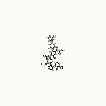 C=CC(=O)Nc1cc(NC(=N)/C=C(\NN)N2OCC[C@@H]2c2cccc(Cl)c2F)c(OC)cc1N1CCC(N2C[C@H]3CC2CO3)CC1